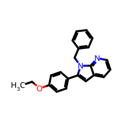 CCOc1ccc(-c2cc3cccnc3n2Cc2ccccc2)cc1